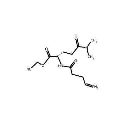 C=CCCC(=O)N[C@@H](CCC(=O)N(C)C)C(=O)OCC#N